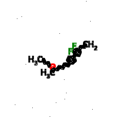 C=CCc1ccc(-c2ccc(C=CCCCC(C)OCCCCC)cc2)c(F)c1F